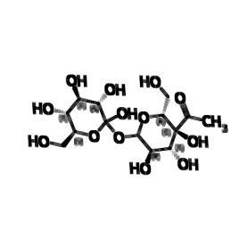 CC(=O)[C@]1(O)[C@H](O)[C@@H](O)C(OC2(O)O[C@@H](CO)[C@H](O)[C@@H](O)[C@@H]2O)O[C@@H]1CO